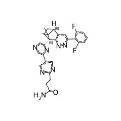 CC1(C)[C@H]2CC[C@]1(c1cncc(-c3cnc(CCC(N)=O)nc3)n1)c1nnc(-c3c(F)cccc3F)cc12